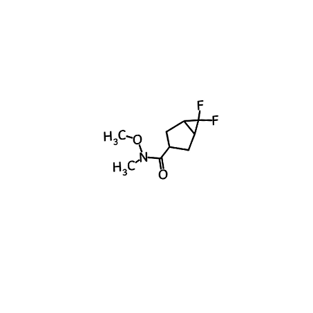 CON(C)C(=O)C1CC2C(C1)C2(F)F